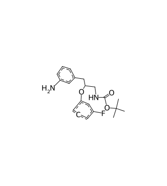 CC(C)(C)OC(=O)NCC(Cc1cccc(N)c1)Oc1cccc(F)c1